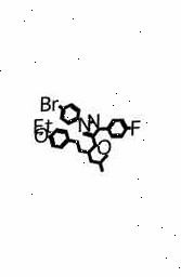 CCOc1ccc(CCC2CC(C)COC2c2cn(-c3ccc(Br)cc3)nc2-c2ccc(F)cc2)cc1